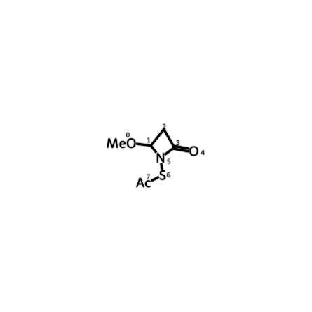 COC1CC(=O)N1SC(C)=O